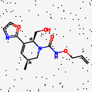 C=CCONC(=O)N1C[C@@H](C)C=C(c2ncco2)[C@H]1CO